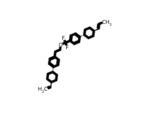 C=C[C@H]1CC[C@H](c2ccc(CCOC(F)(F)c3ccc([C@H]4CC[C@H](/C=C/C)CC4)cc3)cc2)CC1